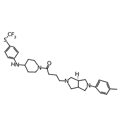 Cc1ccc(N2CC3CN(CCCC(=O)N4CCC(Nc5ccc(SC(F)(F)F)cc5)CC4)C[C@H]3C2)cc1